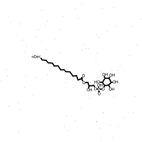 CCCCCCCCCCCCCCCCCCCCCCCC(=O)OCC(O)COP(=O)(O)OC1C(O)C(O)C(O)C(O)C1O